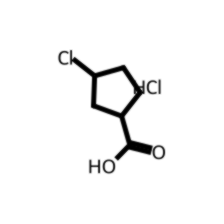 Cl.O=C(O)C1CCC(Cl)C1